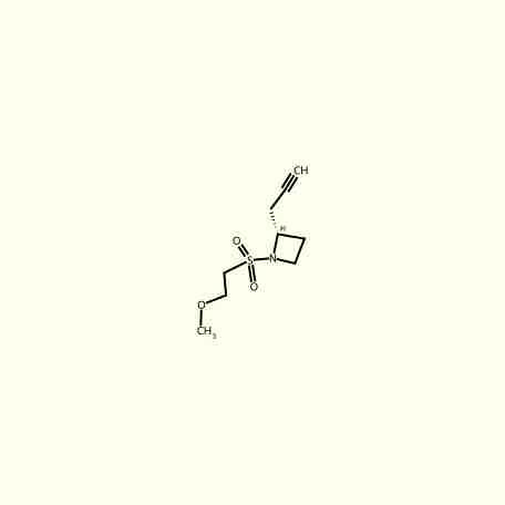 C#CC[C@@H]1CCN1S(=O)(=O)CCOC